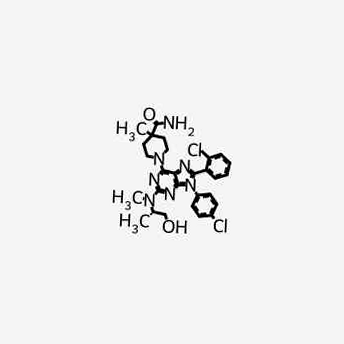 C[C@@H](CO)N(C)c1nc(N2CCC(C)(C(N)=O)CC2)c2nc(-c3ccccc3Cl)n(-c3ccc(Cl)cc3)c2n1